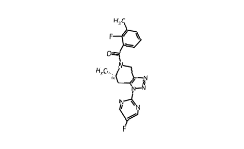 Cc1cccc(C(=O)N2Cc3nnn(-c4ncc(F)cn4)c3C[C@@H]2C)c1F